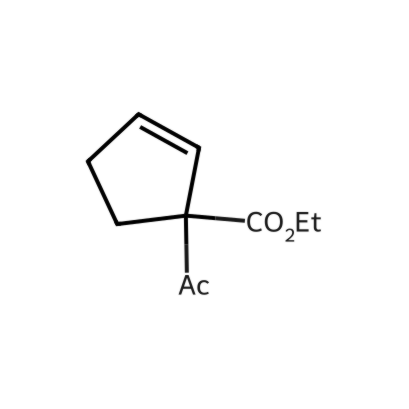 CCOC(=O)C1(C(C)=O)C=CCC1